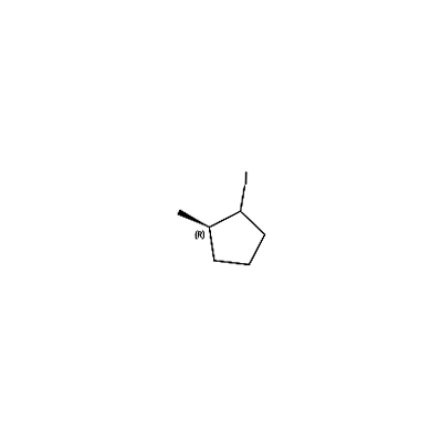 C[C@@H]1CCCC1I